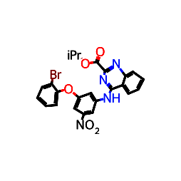 CC(C)OC(=O)c1nc(Nc2cc(Oc3ccccc3Br)cc([N+](=O)[O-])c2)c2ccccc2n1